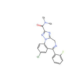 CCN(CC)C(=O)c1nc2n(n1)-c1ccc(Cl)cc1C(c1ccccc1F)=NC2